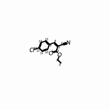 CCOC(=O)C(C#N)=Cc1ccc(Cl)cc1